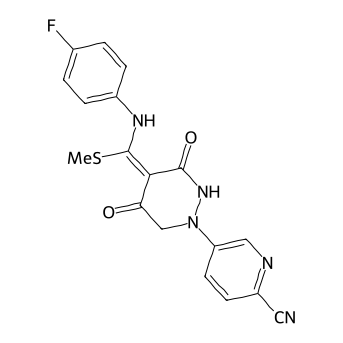 CS/C(Nc1ccc(F)cc1)=C1\C(=O)CN(c2ccc(C#N)nc2)NC1=O